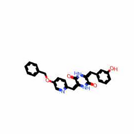 O=c1[nH]/c(=C/c2ccc(OCc3ccccc3)cn2)c(=O)[nH]/c1=C/c1cccc(O)c1